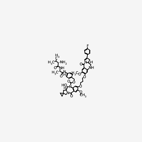 COc1cc2c(cc1OCCCOc1cc3c(cc1OC)C(=O)N1CC4(CC4)C[C@H]1C(O)N3C(=O)OCc1ccc(NC(=O)[C@H](C)NC(=O)[C@@H](N)C(C)C)cc1)NC[C@@H]1CC(c3ccc(F)cc3)=CN1C2=O